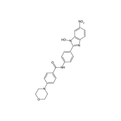 O=C(Nc1ccc(-c2nc3ccc([N+](=O)[O-])cc3n2O)cc1)c1ccc(N2CCOCC2)cc1